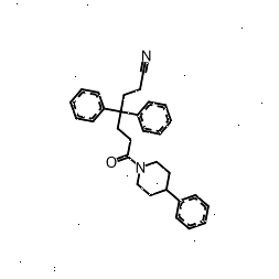 N#CCCC(CCC(=O)N1CCC(c2ccccc2)CC1)(c1ccccc1)c1ccccc1